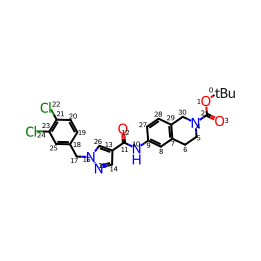 CC(C)(C)OC(=O)N1CCc2cc(NC(=O)c3cnn(Cc4ccc(Cl)c(Cl)c4)c3)ccc2C1